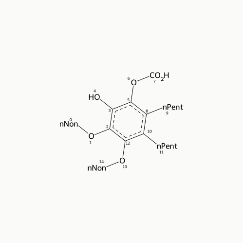 CCCCCCCCCOc1c(O)c(OC(=O)O)c(CCCCC)c(CCCCC)c1OCCCCCCCCC